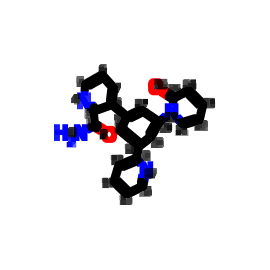 NC(=O)c1ncccc1-c1cc(-c2ccccn2)cc(-n2ccccc2=O)c1